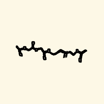 CC(=O)OCCNCCOC(=O)COC(=O)COC(C)=O